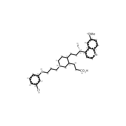 COc1ccc2nccc([C@@H](F)CCC3CCN(CCCSc4cccc(Cl)c4)CC3CCC(=O)O)c2c1